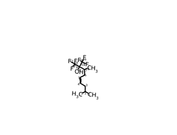 CC(C)C/C=C\CC(C)C(O)(C(F)(F)F)C(F)(F)F